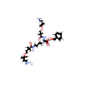 CC(C)(CCN)OCCC(C)(C)C(=O)NCCCC[C@H](NC(=O)C(C)(C)COC(C)(C)CCN)C(=O)OCc1ccccc1